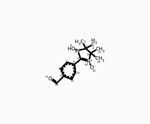 CC1(C)N(O)C(c2ccc(C=O)cc2)=[N+]([O-])C1(C)C